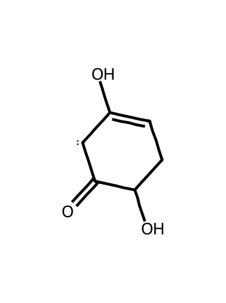 O=C1[C]C(O)=CCC1O